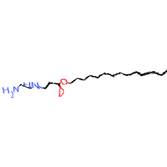 CCCCCCCCCCCCCCOC(=O)CCNCCN